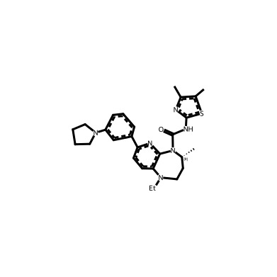 CCN1CC[C@@H](C)N(C(=O)Nc2nc(C)c(C)s2)c2nc(-c3cccc(N4CCCC4)c3)ccc21